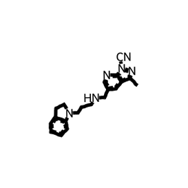 Cc1nn(C#N)c2ncc(CNCCCN3CCc4ccccc43)cc12